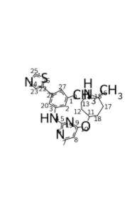 Cc1cc(Nc2nccc(OC3CCNC(C)CC3)n2)cc(-c2cn[c]s2)c1